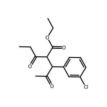 CCOC(=O)C(C(=O)CC)C(C(C)=O)c1cccc(Cl)c1